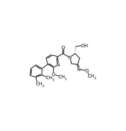 CO/N=C1\C[C@@H](CO)N(C(=O)c2ccc(-c3cccc(C)c3C)c(OC)n2)C1